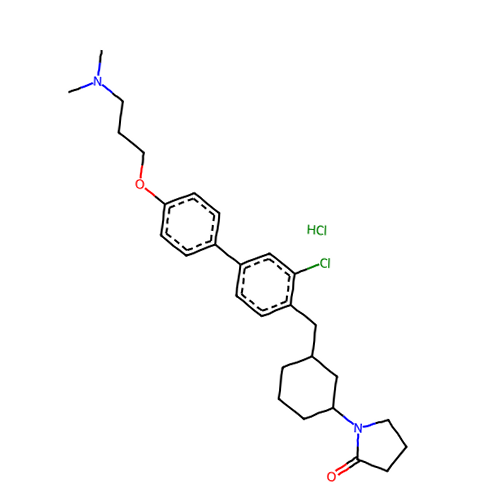 CN(C)CCCOc1ccc(-c2ccc(CC3CCCC(N4CCCC4=O)C3)c(Cl)c2)cc1.Cl